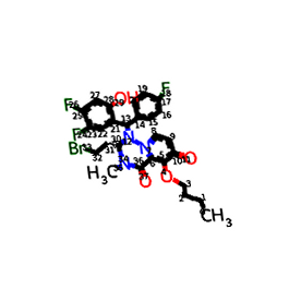 CCCCOc1c2n(ccc1=O)N(C(c1ccc(F)cc1)c1cc(F)c(F)cc1O)[C@@H](CCBr)N(C)C2=O